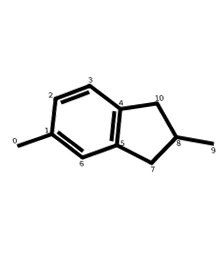 Cc1ccc2c(c1)CC(C)C2